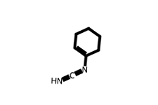 N=C=NC1=CCCCC1